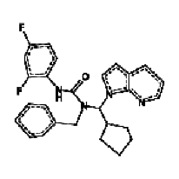 O=C(Nc1ccc(F)cc1F)N(Cc1ccccc1)C(C1CCCC1)n1ccc2cccnc21